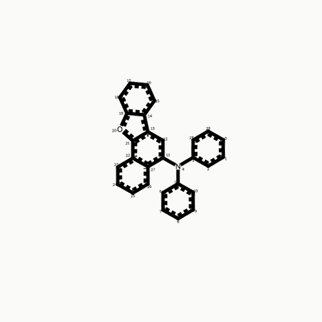 c1ccc(N(c2ccccc2)c2cc3c4ccccc4oc3c3ccccc23)cc1